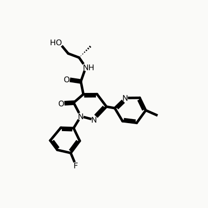 Cc1ccc(-c2cc(C(=O)N[C@@H](C)CO)c(=O)n(-c3cccc(F)c3)n2)nc1